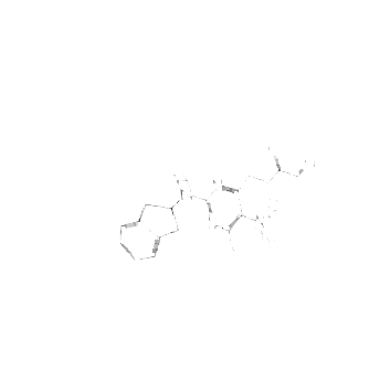 Cc1nc(NC2Cc3ccccc3C2)nc(CCC(=O)C=O)c1[N+](=O)[O-]